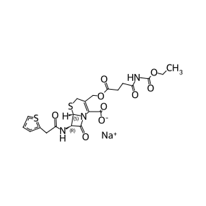 CCOC(=O)NC(=O)CCC(=O)OCC1=C(C(=O)[O-])N2C(=O)[C@@H](NC(=O)Cc3cccs3)[C@@H]2SC1.[Na+]